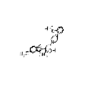 COc1ccccc1N1CCN(CCC(=NO)c2sc3ccc(C)cc3c2C)CC1